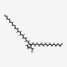 CCCCCCCCCCCCCCCCCC[n+]1ccn(CC)c1CCCCCCCCCCCCCCC